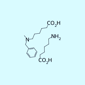 CN(CCCCCC(=O)O)Cc1ccccc1.NCCCCCC(=O)O